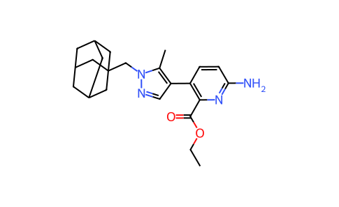 CCOC(=O)c1nc(N)ccc1-c1cnn(CC23CC4CC(CC(C4)C2)C3)c1C